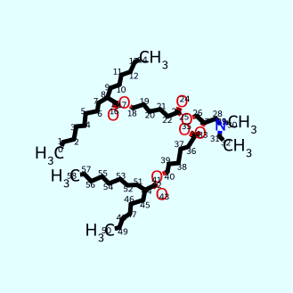 CCCCCCCCC(CCCCCC)C(=O)OCCCCCC(=O)OCC(CN(C)CC)OC(=O)CCCCCOC(=O)C(CCCCCC)CCCCCCCC